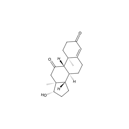 C[C@]12CC(=O)[C@H]3[C@@H](CCC4=CC(=O)CC[C@@]43C)[C@@H]1CC[C@@H]2O